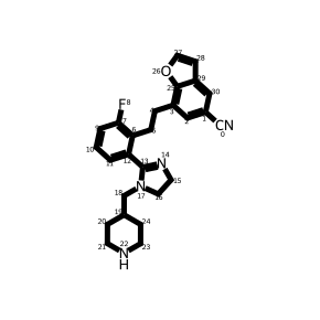 N#Cc1cc(CCc2c(F)cccc2C2=NCCN2CC2CCNCC2)c2occc2c1